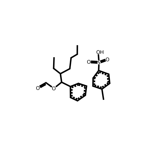 CCCCC(CC)C(OC=O)c1ccccc1.Cc1ccc(S(=O)(=O)O)cc1